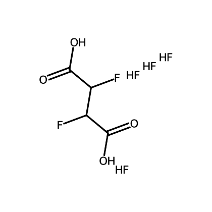 F.F.F.F.O=C(O)C(F)C(F)C(=O)O